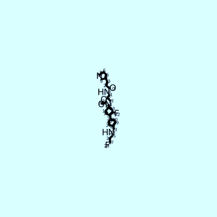 O=C(C=Cc1cccnc1)NCC1CN(c2ccc(-c3ccc(CNCCCF)cc3)c(F)c2)C(=O)O1